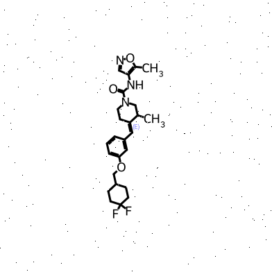 Cc1oncc1NC(=O)N1CC/C(=C\c2cccc(OCC3CCC(F)(F)CC3)c2)C(C)C1